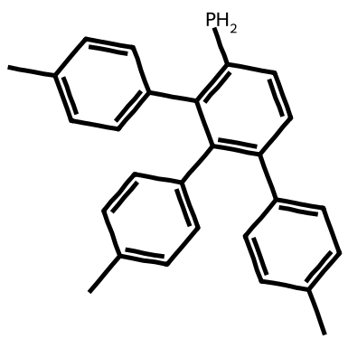 Cc1ccc(-c2ccc(P)c(-c3ccc(C)cc3)c2-c2ccc(C)cc2)cc1